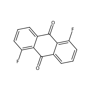 O=C1c2cccc(F)c2C(=O)c2cccc(F)c21